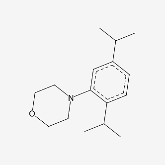 CC(C)c1ccc(C(C)C)c(N2CCOCC2)c1